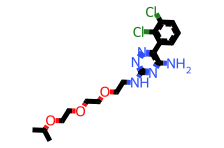 CC(C)OCCOCCOCCNc1nnc(-c2cccc(Cl)c2Cl)c(N)n1